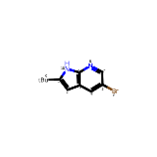 CC(C)(C)c1cc2cc(Br)cnc2[nH]1